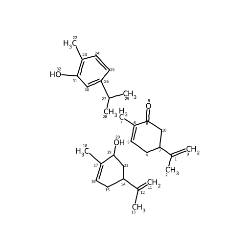 C=C(C)C1CC=C(C)C(=O)C1.C=C(C)C1CC=C(C)C(O)C1.Cc1ccc(C(C)C)cc1O